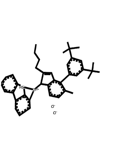 CCCCC1=Cc2c(ccc(C)c2-c2cc(C(C)(C)C)cc(C(C)(C)C)c2)[CH]1[Zr+2]1[c]2cccc3c2[SiH]1c1ccccc1-3.[Cl-].[Cl-]